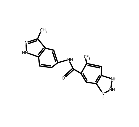 Cc1n[nH]c2ccc(NC(=O)c3cc4c(cc3C(F)(F)F)NNN4)cc12